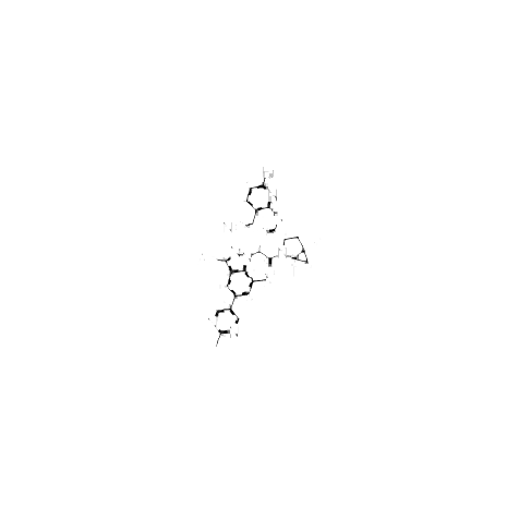 CC(=O)c1nn(CC(=O)N2[C@H](C(=O)Nc3nc(Br)ccc3CC#N)C[C@@]3(C)C[C@@H]23)c2c(C)cc(-c3cnc(C)nc3)cc12